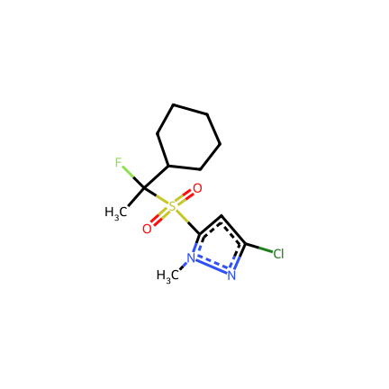 Cn1nc(Cl)cc1S(=O)(=O)C(C)(F)C1CCCCC1